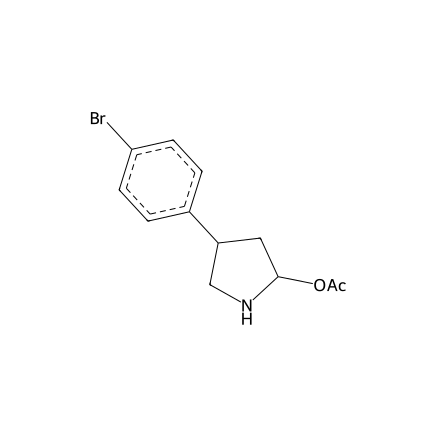 CC(=O)OC1CC(c2ccc(Br)cc2)CN1